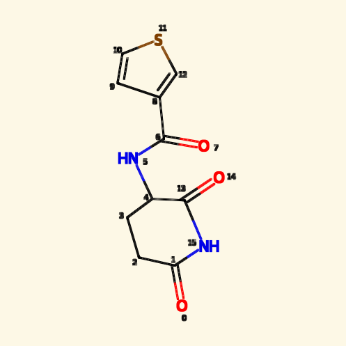 O=C1CCC(NC(=O)c2ccsc2)C(=O)N1